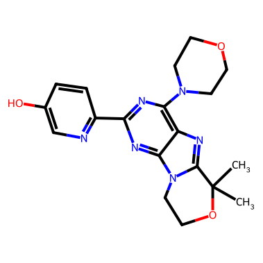 CC1(C)OCCn2c1nc1c(N3CCOCC3)nc(-c3ccc(O)cn3)nc12